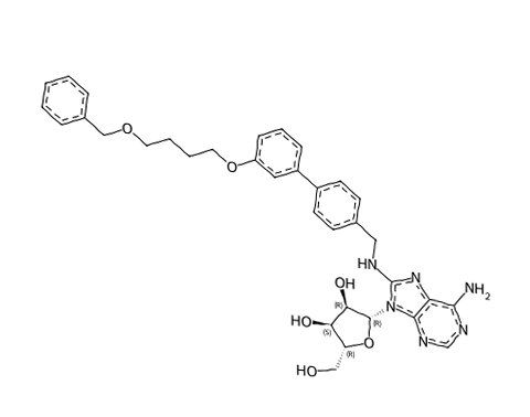 Nc1ncnc2c1nc(NCc1ccc(-c3cccc(OCCCCOCc4ccccc4)c3)cc1)n2[C@@H]1O[C@H](CO)[C@@H](O)[C@H]1O